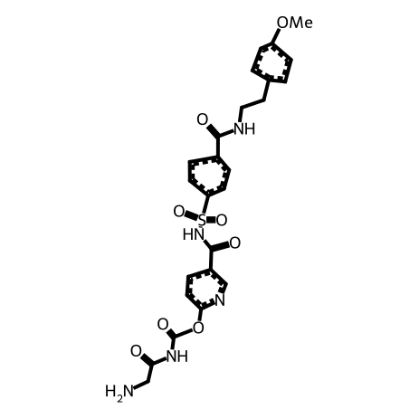 COc1ccc(CCNC(=O)c2ccc(S(=O)(=O)NC(=O)c3ccc(OC(=O)NC(=O)CN)nc3)cc2)cc1